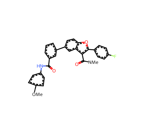 CNC(=O)c1c(-c2ccc(F)cc2)oc2ccc(-c3cccc(C(=O)Nc4ccc(OC)cc4)c3)cc12